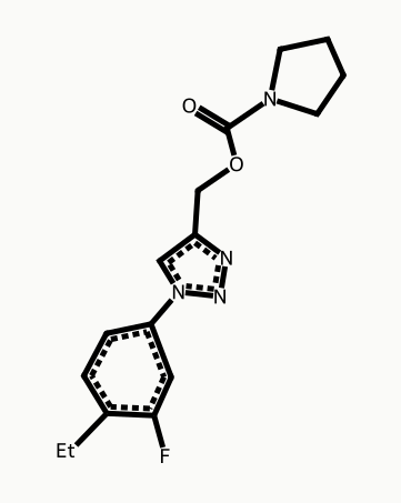 CCc1ccc(-n2cc(COC(=O)N3CCCC3)nn2)cc1F